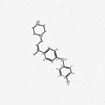 CC(=CCN1CCNCC1)c1ccc(Oc2ccc(Cl)cc2)cc1